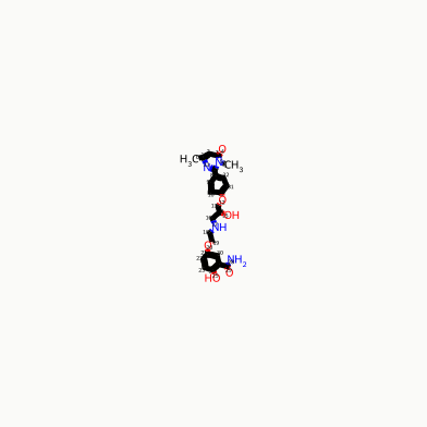 Cc1cc(=O)n(C)c(-c2ccc(OCC(O)CNCCOc3ccc(O)c(C(N)=O)c3)cc2)n1